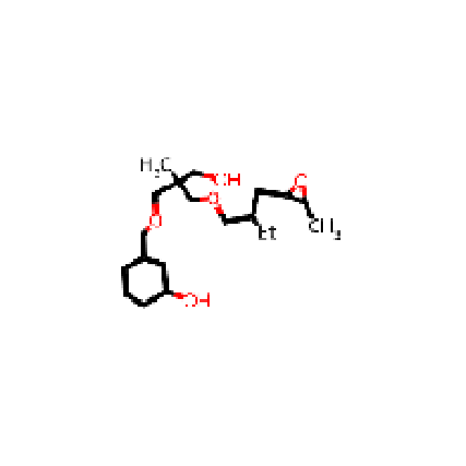 CCC(COCC(C)(CO)COCC1CCCC(O)C1)CC1OC1C